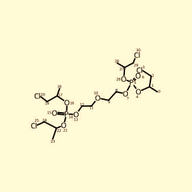 CC(CCl)OP(=O)(OCCOCCOP(=O)(OC(C)CCl)OC(C)CCl)OC(C)CCl